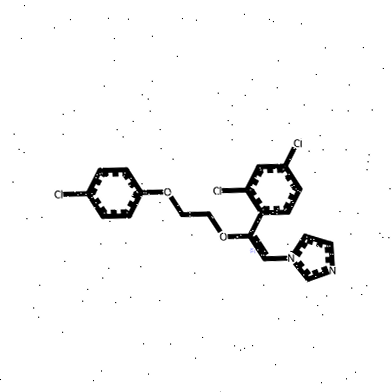 Clc1ccc(OCCO/C(=C/n2ccnc2)c2ccc(Cl)cc2Cl)cc1